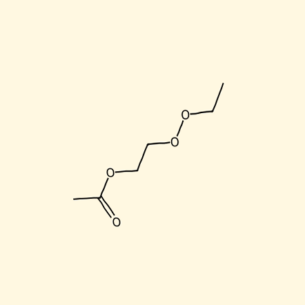 CCOOCCOC(C)=O